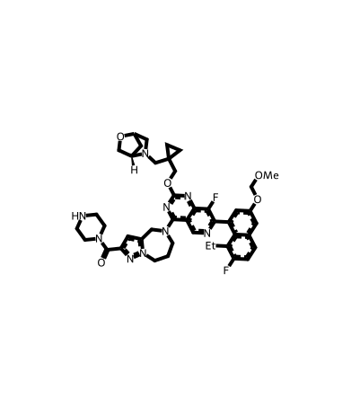 CCc1c(F)ccc2cc(OCOC)cc(-c3ncc4c(N5CCCn6nc(C(=O)N7CCNCC7)cc6C5)nc(OCC5(CN6CC7C[C@H]6CO7)CC5)nc4c3F)c12